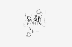 CCOP(=O)(OCC)C(O)[C@H](CCC(=O)N(C)c1ccccc1)NC(=O)[C@H](CC1CCCCC1)NC(=O)OC(C)c1cccc(Cl)c1